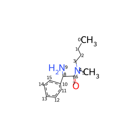 CCCCN(C)C(=O)C(N)c1ccccc1